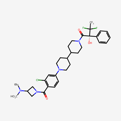 CC(C)(C)N(C(=O)O)C1CN(C(=O)c2ccc(N3CCC(C4CCN(C(=O)[C@](O)(c5ccccc5)C(F)(F)C(F)(F)F)CC4)CC3)cc2Cl)C1